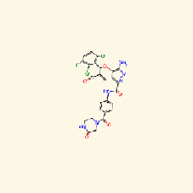 C=C(B=O)C(Oc1cc(C(=O)Nc2ccc(C(=O)N3CCNC(=O)C3)cc2)nnc1N)c1c(Cl)ccc(F)c1Cl